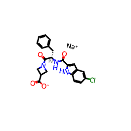 O=C(N[C@@H](Cc1ccccc1)C(=O)N1CC(C(=O)[O-])C1)c1cc2cc(Cl)ccc2[nH]1.[Na+]